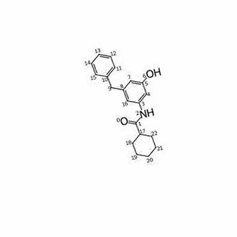 O=C(Nc1cc(O)cc(Cc2ccccc2)c1)C1CCCCC1